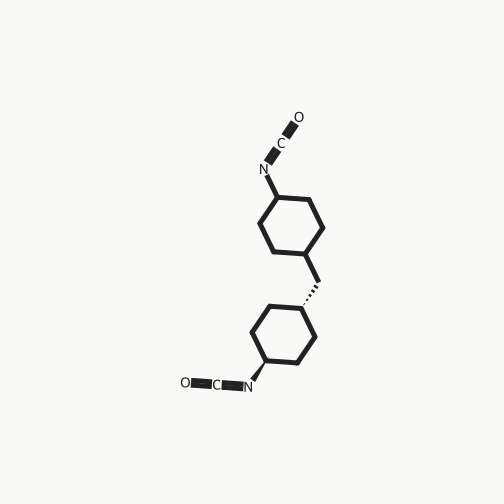 O=C=NC1CCC(C[C@H]2CC[C@H](N=C=O)CC2)CC1